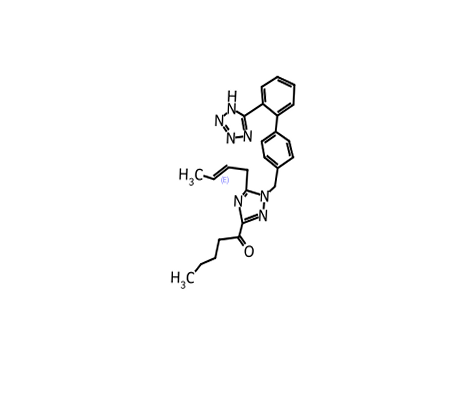 C/C=C/Cc1nc(C(=O)CCCC)nn1Cc1ccc(-c2ccccc2-c2nnn[nH]2)cc1